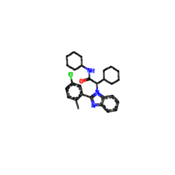 Cc1ccc(Cl)cc1-c1nc2ccccc2n1C(C(=O)NC1CCCCC1)C1CCCCC1